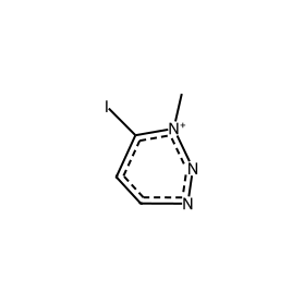 C[n+]1nnccc1I